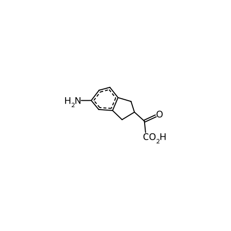 Nc1ccc2c(c1)CC(C(=O)C(=O)O)C2